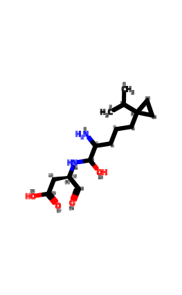 CC(C)C1(CCCC(N)C(O)N[C@@H](C=O)CC(=O)O)CC1